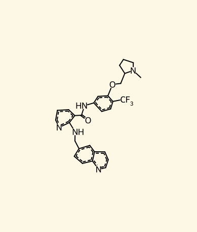 CN1CCCC1COc1cc(NC(=O)c2cccnc2NCc2ccc3ncccc3c2)ccc1C(F)(F)F